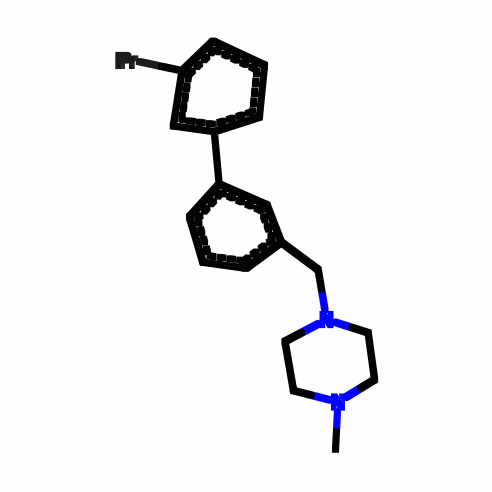 CC(C)c1cccc(-c2cccc(CN3CCN(C)CC3)c2)c1